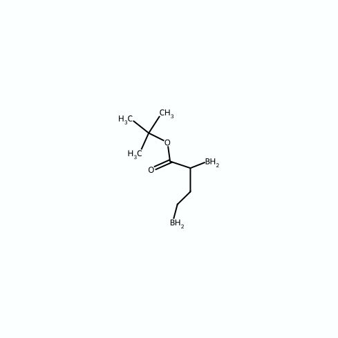 BCCC(B)C(=O)OC(C)(C)C